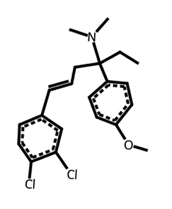 CCC(CC=Cc1ccc(Cl)c(Cl)c1)(c1ccc(OC)cc1)N(C)C